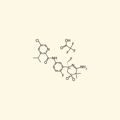 CC(C)c1cc(Cl)cnc1C(=O)Nc1ccc(F)c([C@]2(CF)CS(=O)(=O)C(C)(C)C(N)=N2)c1.O=C(O)C(F)(F)F